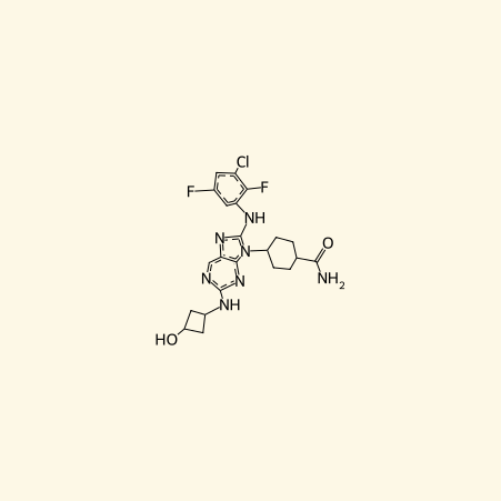 NC(=O)C1CCC(n2c(Nc3cc(F)cc(Cl)c3F)nc3cnc(NC4CC(O)C4)nc32)CC1